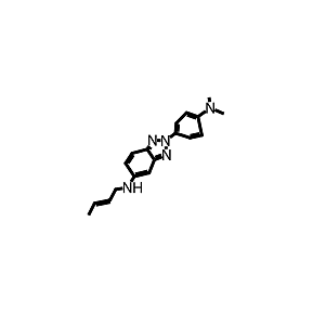 C/C=C/CNc1ccc2nn(-c3ccc(N(C)C)cc3)nc2c1